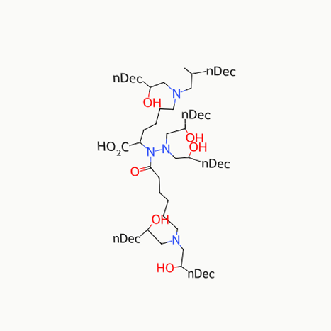 CCCCCCCCCCC(C)CN(CCCCC(C(=O)O)N(C(=O)CCCCCN(CC(O)CCCCCCCCCC)CC(O)CCCCCCCCCC)N(CC(O)CCCCCCCCCC)CC(O)CCCCCCCCCC)CC(O)CCCCCCCCCC